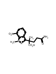 Cn1nc(C(C)(CCC(N)=O)C(=O)O)c2cccc([N+](=O)[O-])c21